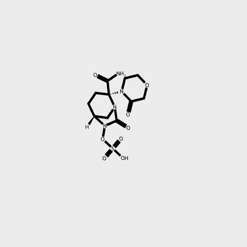 NC(=O)[C@]1(N2CCOCC2=O)CC[C@@H]2CN1C(=O)N2OS(=O)(=O)O